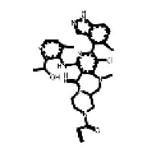 C=CC(=O)N1CCN2C(=N)c3c(Nc4c(C)ccnc4C(C)O)nc(-c4c(C)ccc5[nH]ncc45)c(Cl)c3N(C)CC2C1